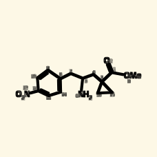 COC(=O)C1(CC(N)Cc2ccc([N+](=O)[O-])cc2)CC1